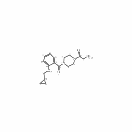 NCC(=O)N1CCN(C(=O)c2ccccc2OCC2CC2)CC1